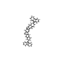 c1ccc2c(c1)c1ccccc1n2-c1ccc2cc3c(cc2c1)oc1cc2oc4cc5cc(-n6c7ccccc7c7ccccc76)ccc5cc4c2cc13